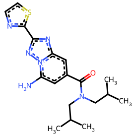 CC(C)CN(CC(C)C)C(=O)c1cc(N)n2nc(-c3nccs3)nc2c1